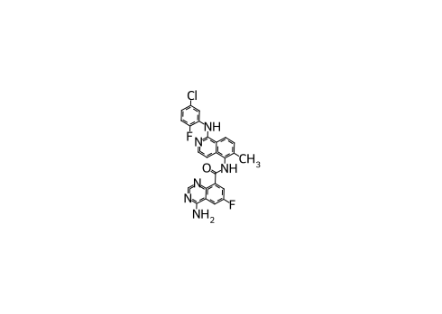 Cc1ccc2c(Nc3cc(Cl)ccc3F)nccc2c1NC(=O)c1cc(F)cc2c(N)ncnc12